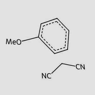 COc1ccccc1.N#CCC#N